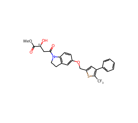 COC(=O)[C@@H](O)CC(=O)N1CCc2cc(OCc3cc(-c4ccccc4)c(C(F)(F)F)s3)ccc21